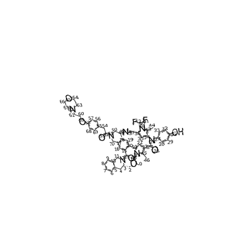 COC[C@@H]1Cc2ccccc2CN1C(=O)c1cc2c(cc1-c1cc(C(=O)N(c3ccc(O)cc3)c3cc(C#N)n(C(F)F)c3C)c(C)n1C)CCN(C(=O)Cc1ccc(OCCN3CCOCC3)cc1)C2